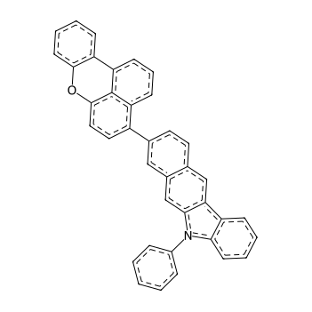 c1ccc(-n2c3ccccc3c3cc4ccc(-c5ccc6c7c(cccc57)-c5ccccc5O6)cc4cc32)cc1